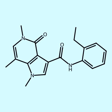 CCc1ccccc1NC(=O)c1cn(C)c2c(C)cn(C)c(=O)c12